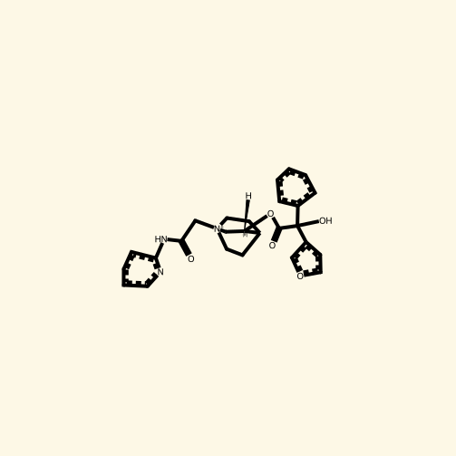 O=C(C[N+]12CCC(CC1)[C@@H](OC(=O)C(O)(c1ccccc1)c1ccoc1)C2)Nc1ccccn1